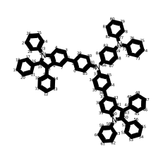 C1=C(c2ccc3c(c2)c(-c2ccccc2)c(-c2ccccc2)n3-c2ccccc2)CCC(N(c2ccc(-c3ccc4c(c3)c(-c3ccccc3)c(-c3ccccc3)n4-c3ccccc3)cc2)c2ccc(N(c3ccccc3)c3ccccc3)cc2)=C1